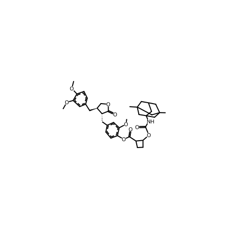 COc1ccc(C[C@H]2COC(=O)[C@@H]2Cc2ccc(OC(=O)C3CCC3OC(=O)NC34CC5CC(C)(CC(C)(C5)C3)C4)c(OC)c2)cc1OC